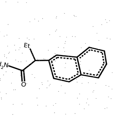 CCC(C(N)=O)c1ccc2ccccc2c1